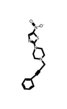 O=[N+]([O-])c1cnc(N2CCN(CC#Cc3ccccc3)CC2)s1